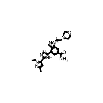 CCn1nc(C)cc1-c1nnc(-c2cc(C(N)=O)cc3c2cnn3[C@H](C)CN2CCOCC2)[nH]1